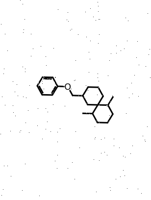 CC1CCCC(C)C12CCCC(COc1[c]cccc1)C2